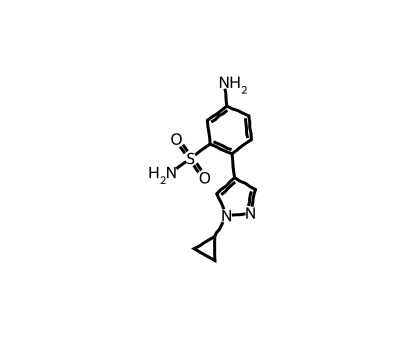 Nc1ccc(-c2cnn(C3CC3)c2)c(S(N)(=O)=O)c1